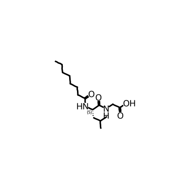 CCCCCCCC(=O)N[C@@H](CC(C)C)C(=O)NCC(=O)O